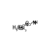 CC(C)(C)OC(=O)c1ccc(Cn2ccc3ccc(C#CCn4cncn4)cc3c2=O)cc1